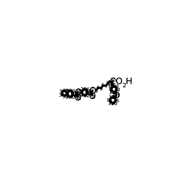 O=C(OCCCCCCN(C(=O)O)c1ccc(Oc2ccccc2)cc1)N1CCC(OC(=O)N2CCC3(CCCC3)CC2)CC1